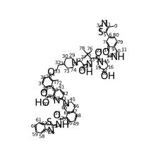 Cc1ncsc1-c1ccc([C@H](C)NC(=O)[C@@H]2C[C@@H](O)CN2C(=O)C(NC(=O)CN2CCC(CCOc3cccc(-c4ccc(N5CCc6cccc(C(=O)Nc7nc8ccccc8s7)c6C5)nc4C(=O)O)c3C)CC2)C(C)(C)C)cc1